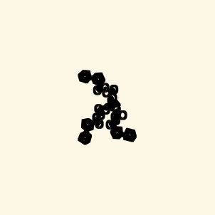 CCC(COC(=O)OOC(=O)c1cccc(-c2ccccc2)c1)(COC(=O)OOC(=O)c1cccc(-c2ccccc2)c1)COC(=O)OOC(=O)c1cccc(-c2ccccc2)c1